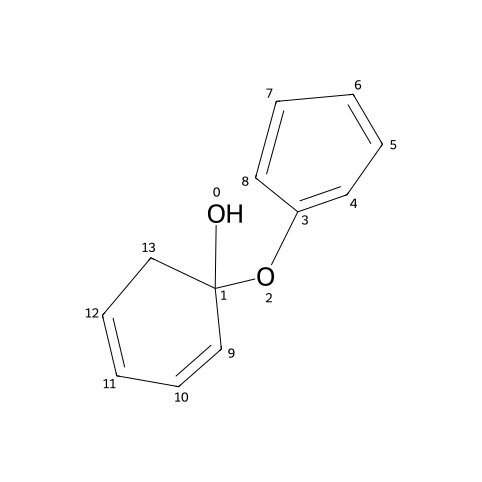 OC1(Oc2ccccc2)C=CC=CC1